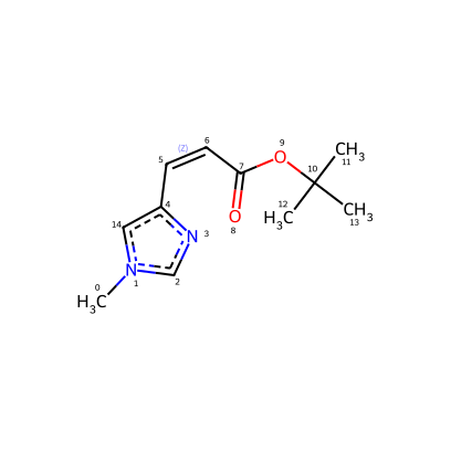 Cn1cnc(/C=C\C(=O)OC(C)(C)C)c1